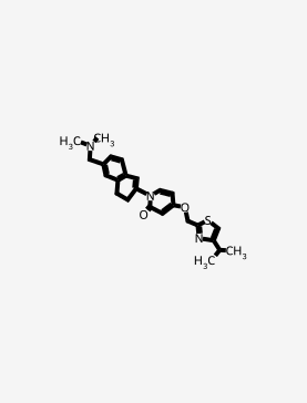 CC(C)c1csc(COc2ccn(C3=Cc4ccc(CN(C)C)cc4CC3)c(=O)c2)n1